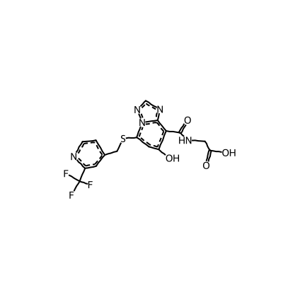 O=C(O)CNC(=O)c1c(O)cc(SCc2ccnc(C(F)(F)F)c2)n2ncnc12